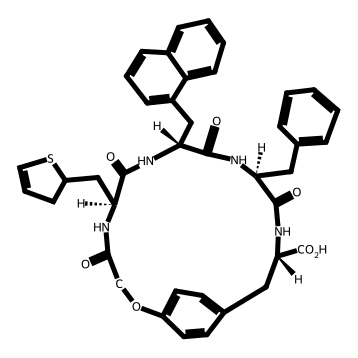 O=C1COc2ccc(cc2)C[C@@H](C(=O)O)NC(=O)[C@H](Cc2ccccc2)NC(=O)[C@@H](Cc2cccc3ccccc23)NC(=O)[C@H](CC2CC=CS2)N1